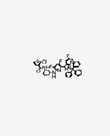 O=C(NC1CCCC(Nc2nc(-c3nn(C(c4ccccc4)(c4ccccc4)c4ccccc4)c4ncc(F)cc34)c(F)cc2F)C1)c1ccsc1Cl